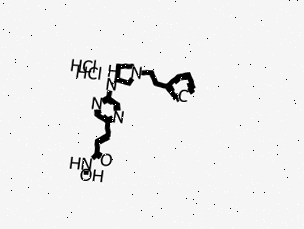 Cl.Cl.O=C(/C=C/c1cnc(N[C@@H]2CCN(CCc3ccccc3)C2)cn1)NO